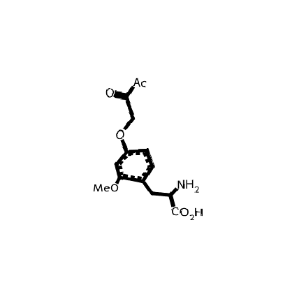 COc1cc(OCC(=O)C(C)=O)ccc1CC(N)C(=O)O